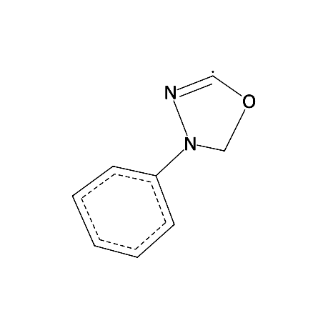 [C]1=NN(c2ccccc2)CO1